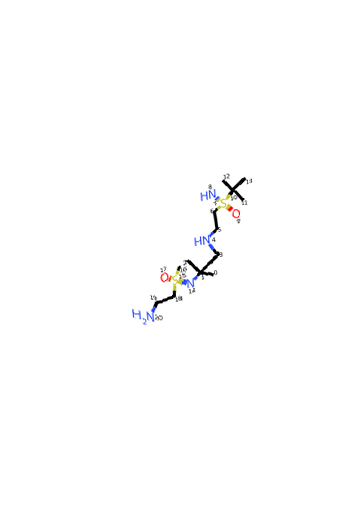 CC(C)(CNCCS(=N)(=O)C(C)(C)C)N=S(C)(=O)CCN